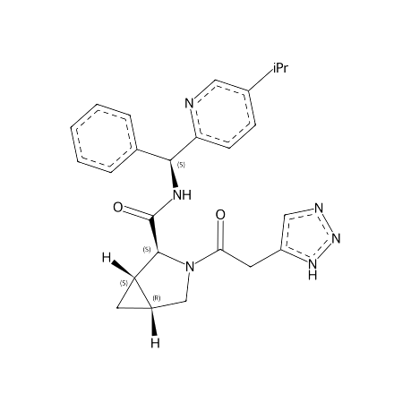 CC(C)c1ccc([C@@H](NC(=O)[C@@H]2[C@H]3C[C@H]3CN2C(=O)Cc2cnn[nH]2)c2ccccc2)nc1